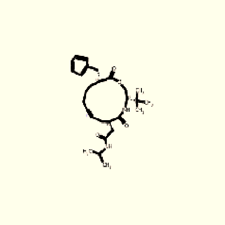 CC(C)NC(=O)C[C@H]1C/C=C\CCC[C@H](Cc2ccccc2)C(=O)OC[C@H](C(C)(C)C)NC1=O